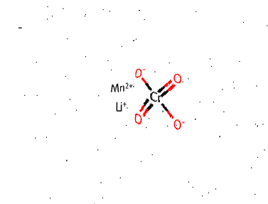 [Li+].[Mn+2].[O]=[Cr](=[O])([O-])[O-]